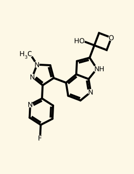 Cn1cc(-c2ccnc3[nH]c(C4(O)COC4)cc23)c(-c2ccc(F)cn2)n1